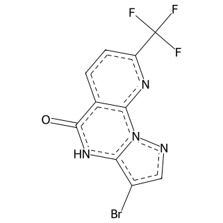 O=c1[nH]c2c(Br)cnn2c2nc(C(F)(F)F)ccc12